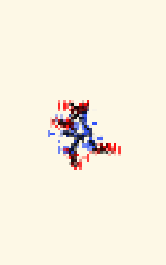 CCC(N)(CC)CCN(CCNCCN(CCNCCNC(=O)OCC(O)CO)CCN(CCNCCNC(=O)OCC(O)CO)CCN(CCN)CCNC(=O)OCC(O)CO)CCNC(=O)OCC(O)CO